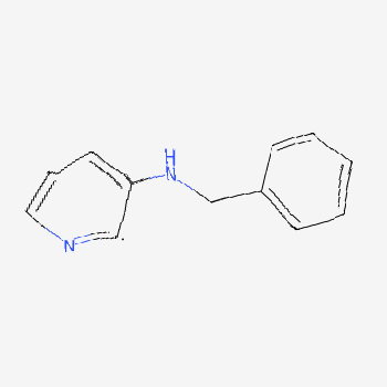 [c]1ncccc1NCc1ccccc1